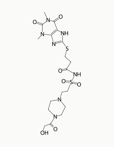 Cn1c(=O)c2[nH]c(SCCC(=O)NS(=O)(=O)CCN3CCN(C(=O)CO)CC3)nc2n(C)c1=O